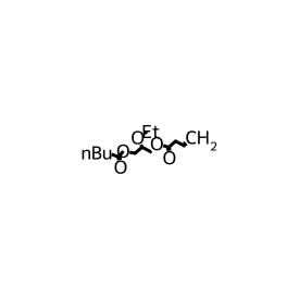 C=CCC(=O)OCC(COC(=O)CCCC)OCC